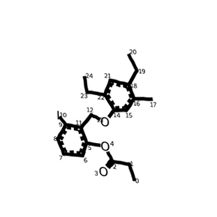 CCC(=O)Oc1cccc(I)c1COc1cc(C)c(CC)cc1CC